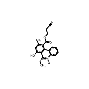 COC(=O)c1c(O)cc(C)c(C(=O)OCCC#N)c1-c1ccccc1[N+](=O)[O-]